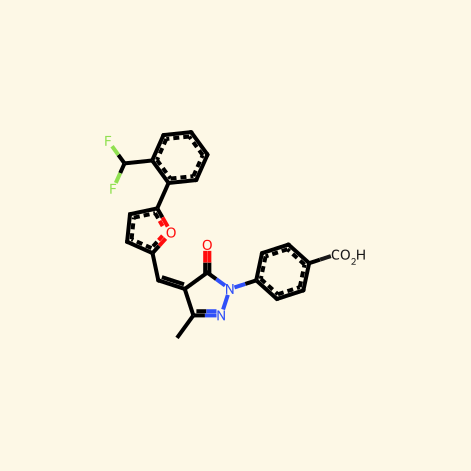 CC1=NN(c2ccc(C(=O)O)cc2)C(=O)C1=Cc1ccc(-c2ccccc2C(F)F)o1